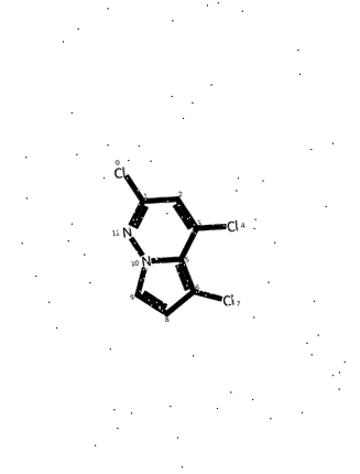 Clc1cc(Cl)c2c(Cl)ccn2n1